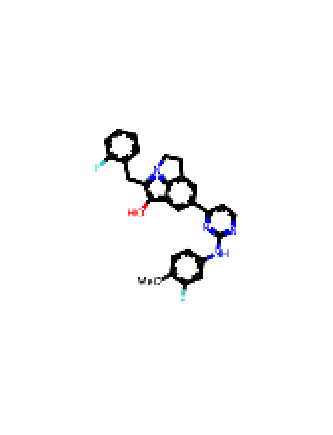 COc1ccc(Nc2nccc(-c3cc4c5c(c3)c(O)c(Cc3ccccc3F)n5CC4)n2)cc1F